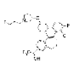 OC(c1ccc2c(c1)CCCC(c1cccc(F)c1Cl)=C2c1ccc(OC2CCN(CCCF)C2)cc1)C(F)(F)F